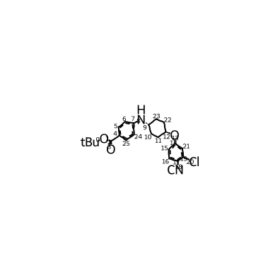 CC(C)(C)OC(=O)c1ccc(N[C@H]2CC[C@H](Oc3ccc(C#N)c(Cl)c3)CC2)cc1